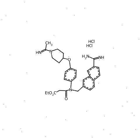 CCOC(=O)CC(=O)N(Cc1ccc2ccc(C(=N)N)cc2c1)c1ccc(OC2CCN(C(C)=N)CC2)cc1.Cl.Cl